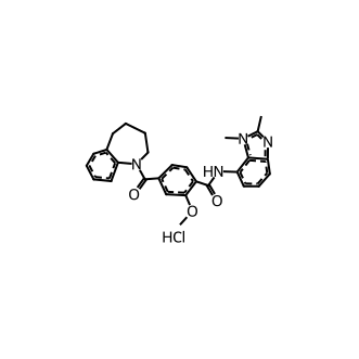 COc1cc(C(=O)N2CCCCc3ccccc32)ccc1C(=O)Nc1cccc2nc(C)n(C)c12.Cl